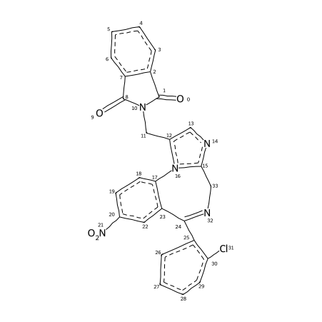 O=C1c2ccccc2C(=O)N1Cc1cnc2n1-c1ccc([N+](=O)[O-])cc1C(c1ccccc1Cl)=NC2